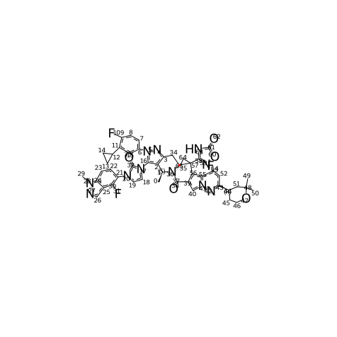 C[C@H]1c2c(nn(-c3ccc(F)c(C4CC4)c3)c2-n2ccn(-c3ccc4c(cnn4C)c3F)c2=O)CCN1C(=O)c1cn2nc([C@@H]3CCOC(C)(C)C3)cc(F)c2c1C1(c2noc(=O)[nH]2)CC1